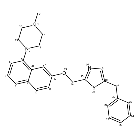 CN1CCN(c2cccc3ccc(OCc4ncc(Cc5ccccc5)s4)cc23)CC1